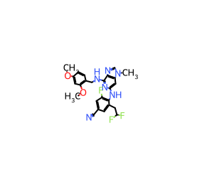 COc1ccc(CNc2nc(Nc3c(F)cc(C#N)cc3CC(F)F)cc3c2ncn3C)c(OC)c1